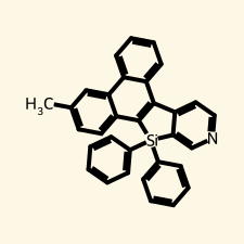 Cc1ccc2c3c(c4ccccc4c2c1)-c1ccncc1[Si]3(c1ccccc1)c1ccccc1